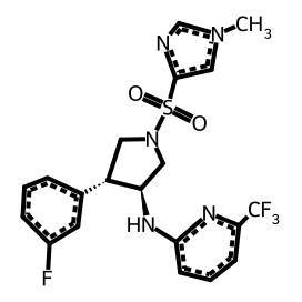 Cn1cnc(S(=O)(=O)N2C[C@@H](Nc3cccc(C(F)(F)F)n3)[C@H](c3cccc(F)c3)C2)c1